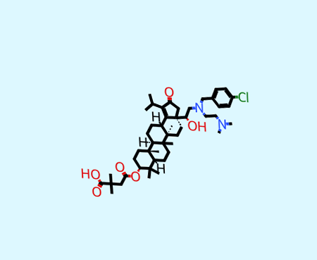 CC(C)C1=C2[C@H]3CC[C@H]4C(C)(CC[C@H]5C(C)(C)[C@@H](OC(=O)CC(C)(C)C(=O)O)CC[C@@]54C)[C@]3(C)CC[C@@]2([C@H](O)CN(CCN(C)C)Cc2ccc(Cl)cc2)CC1=O